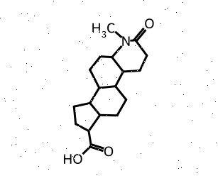 CN1C(=O)CCC2C3CCC4C(C(=O)O)CCC4C3CCC21